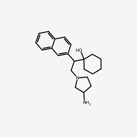 NC1CCN(CC(c2ccc3ccccc3c2)C2(O)CCCCC2)C1